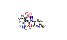 CCC(N(C)C)[C@@]12CC[C@H]([C@@H](C(=O)O)[C@H]1C(=O)Nc1ccc(Br)nc1)C21CC1